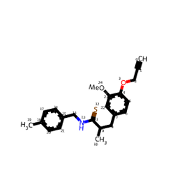 C#CCOc1ccc(CC(C)C(=S)NCc2ccc(C)cc2)cc1OC